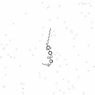 CCCCCCCCCCOc1cnc(-c2ccc(OC(=O)c3ccc(C[Si](C)(C)CCCC)s3)cc2)nc1